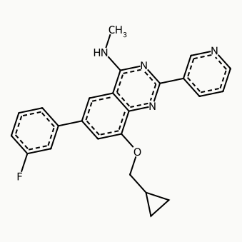 CNc1nc(-c2cccnc2)nc2c(OCC3CC3)cc(-c3cccc(F)c3)cc12